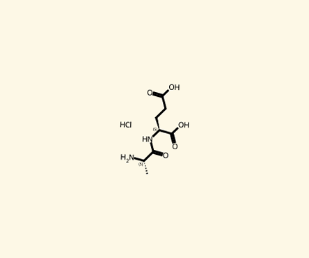 C[C@H](N)C(=O)N[C@@H](CCC(=O)O)C(=O)O.Cl